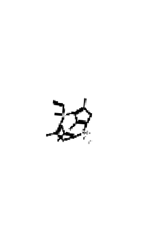 C=C[Si]1(C)C2=C(C)C[C](=C2C)[Zr+2][C]2=C(C)C1=C(C)C2.[Cl-].[Cl-]